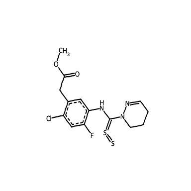 COC(=O)Cc1cc(NC(=S=S)N2CCCC=N2)c(F)cc1Cl